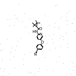 CC1(C)C(C(=O)Nc2ccc(Oc3ccc(C#N)cc3)cn2)C1(C)C